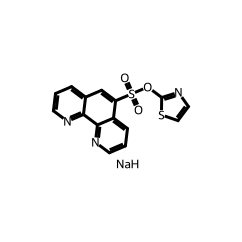 O=S(=O)(Oc1nccs1)c1cc2cccnc2c2ncccc12.[NaH]